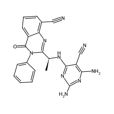 C[C@H](Nc1nc(N)nc(N)c1C#N)c1nc2c(C#N)cccc2c(=O)n1-c1ccccc1